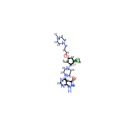 Cc1c(OCCCN2CCN(C)CC2)cc(Cl)cc1N1CCN(c2ncnc3[nH]nc(Br)c23)CC1.Cl